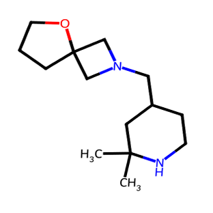 CC1(C)CC(CN2CC3(CCCO3)C2)CCN1